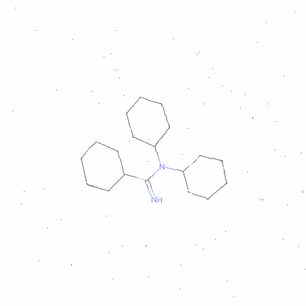 N=C(C1CCCCC1)N(C1CCCCC1)C1CCCCC1